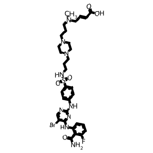 CN(C/C=C/C(=O)O)CCCN1CCN(CCCNS(=O)(=O)c2ccc(Nc3ncc(Br)c(Nc4cccc(F)c4C(N)=O)n3)cc2)CC1